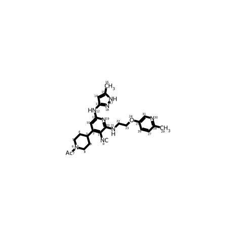 [C-]#[N+]c1c(C2CCN(C(C)=O)CC2)cc(Nc2cc(C)[nH]n2)nc1NCCOc1ccc(C)nc1